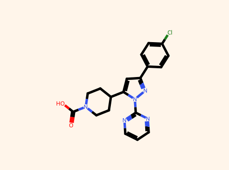 O=C(O)N1CCC(c2cc(-c3ccc(Cl)cc3)nn2-c2ncccn2)CC1